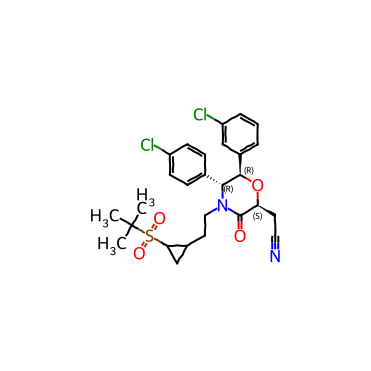 CC(C)(C)S(=O)(=O)C1CC1CCN1C(=O)[C@H](CC#N)O[C@H](c2cccc(Cl)c2)[C@H]1c1ccc(Cl)cc1